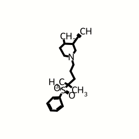 C#CC1CN(CCCC(C)(C)S(=O)(=O)c2ccccc2)CCC1C